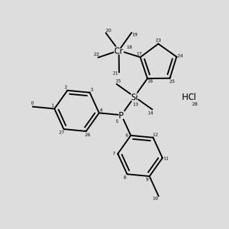 Cc1ccc(P(c2ccc(C)cc2)[Si](C)(C)C2=[C]([Cr]([CH3])([CH3])([CH3])[CH3])CC=C2)cc1.Cl